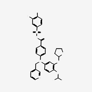 O=C(NS(=O)(=O)c1ccc(F)c(F)c1)c1ccc(N(Cc2cccnc2)c2ccc(OC(F)F)c(OC3CCCO3)c2)cc1